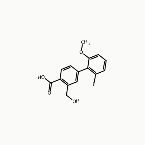 COc1cccc(F)c1-c1ccc(C(=O)O)c(CO)c1